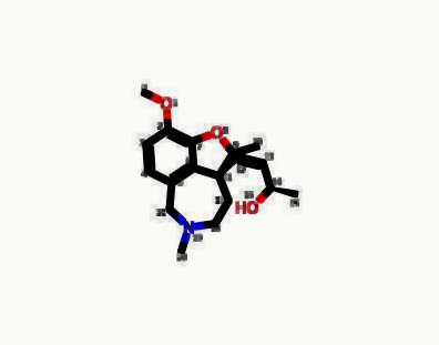 COc1ccc2c3c1OC(C)[C@]3(/C=C\[C@@H](C)O)CCN(C)C2